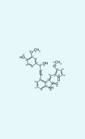 COc1cc(C(O)C#Cc2cccc3c2C(=Cc2[nH]ccc2OC)C(=O)N3)ccc1O